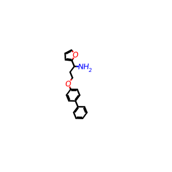 NC(CCOc1ccc(-c2ccccc2)cc1)c1ccco1